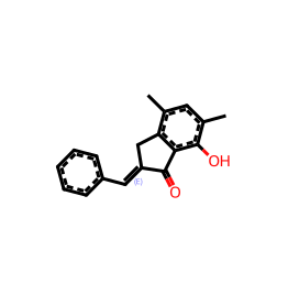 Cc1cc(C)c2c(c1O)C(=O)/C(=C/c1ccccc1)C2